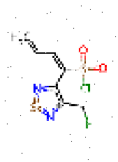 C=C/C=C(\c1nsnc1CF)S(=O)(=O)Cl